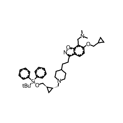 CN(C)Cc1c(OCC2CC2)ccc2c(CCC3CCN(C[C@@H]4C[C@H]4CO[Si](c4ccccc4)(c4ccccc4)C(C)(C)C)CC3)noc12